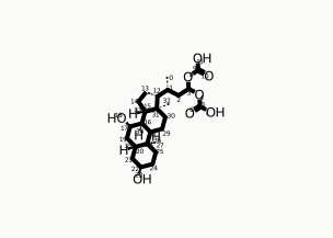 C[C@H](CC(OC(=O)O)OC(=O)O)[C@H]1CC[C@H]2[C@@H]3[C@H](O)C[C@H]4C[C@H](O)CC[C@]4(C)[C@H]3CC[C@]12C